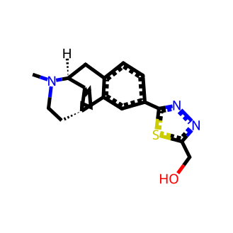 CN1CC[C@@]23CCCCC2[C@@H]1Cc1ccc(-c2nnc(CO)s2)cc13